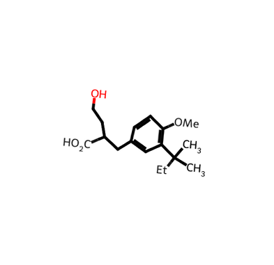 CCC(C)(C)c1cc(CC(CCO)C(=O)O)ccc1OC